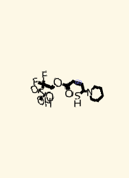 O=C(/C=C\C(S)N1CCCCC1)OCC(F)(F)S(=O)(=O)O